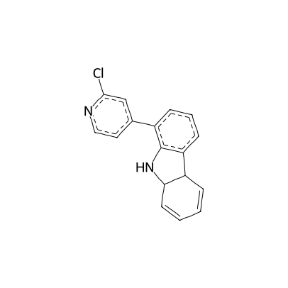 Clc1cc(-c2cccc3c2NC2C=CC=CC32)ccn1